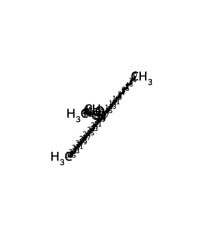 CCCCCC=CCC=CCCCCCCCCN(CCCCCCCCC=CCC=CCCCCC)C(=O)OCCN(C)C